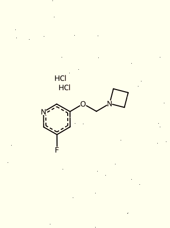 Cl.Cl.Fc1cncc(OCN2CCC2)c1